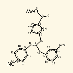 COC(C)c1nc(CC(Cc2ccc(C#N)cc2)Cc2cccc(F)c2)cs1